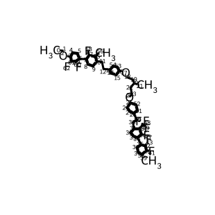 CCOc1ccc(-c2ccc(CCc3ccc(OCCC(C)CCOc4ccc(CCc5ccc(-c6ccc(C)c(F)c6F)c(F)c5C(F)(F)F)cc4)cc3)c(C)c2F)c(F)c1F